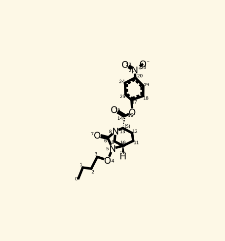 CCCCON1C(=O)N2C[C@@H]1CC[C@H]2C(=O)Oc1ccc([N+](=O)[O-])cc1